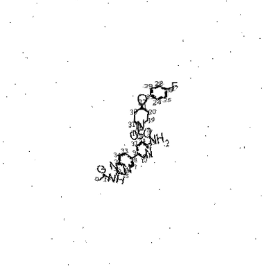 CC(=O)Nc1cn2cc(-c3cnc(N)c(S(=O)(=O)N4CCC(Oc5ccc(F)cc5)CC4)c3)ccc2n1